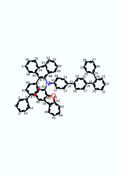 c1ccc(-c2ccc(-c3c(N(c4ccc(-c5ccc(-c6ccccc6-c6ccccc6)cc5)cc4)c4cccc5c4oc4ccccc45)c4ccccc4c4ccccc34)cc2)cc1